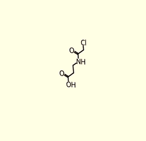 O=C(O)CCNC(=O)CCl